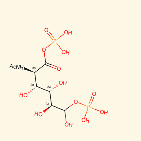 CC(=O)N[C@@H](C(=O)OP(=O)(O)O)[C@@H](O)[C@H](O)[C@H](O)C(O)OP(=O)(O)O